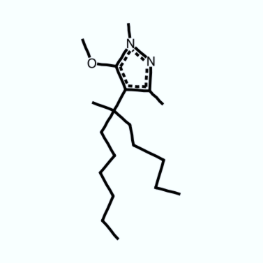 CCCCCCC(C)(CCCCC)c1c(C)nn(C)c1OC